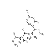 [O-]B(OP)OP.[O-]B(OP)OP.[O-]B(OP)OP.[O-]B(OP)OP.[Pt+4]